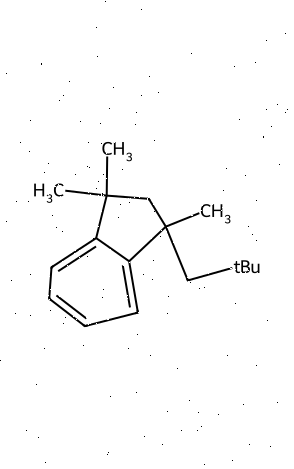 CC(C)(C)CC1(C)CC(C)(C)c2ccccc21